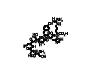 CC(C)C[C@H](NC(=O)[C@H](CS)NC(=O)[C@@H](N)CO)C(=O)N[C@H](C(=O)N[C@@H](C)C(=O)N[C@@H](Cc1ccc(O)cc1)C(=O)N[C@@H](Cc1c[nH]cn1)C(=O)N[C@@H](CCCNC(=N)N)C(=O)O)[C@@H](C)O